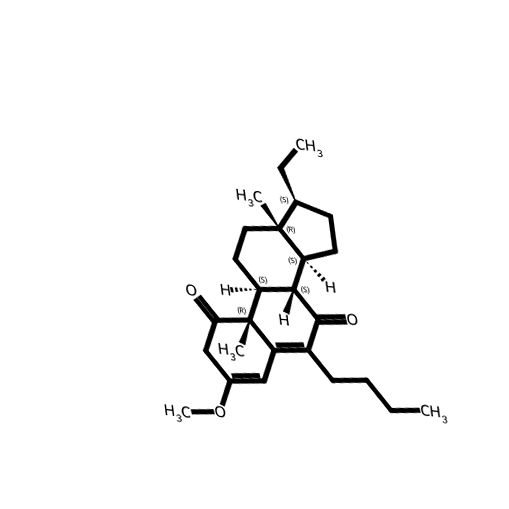 CCCCC1=C2C=C(OC)CC(=O)[C@]2(C)[C@H]2CC[C@]3(C)[C@@H](CC)CC[C@H]3[C@@H]2C1=O